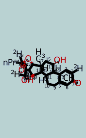 [2H]C1=C[C@@]2(C)C(=CC1=O)CC[C@@H]1[C@@H]2[C@@H](O)C[C@@]2(C)[C@H]1C[C@H]1OC([2H])(CCC)O[C@]12C(=O)C([2H])([2H])O